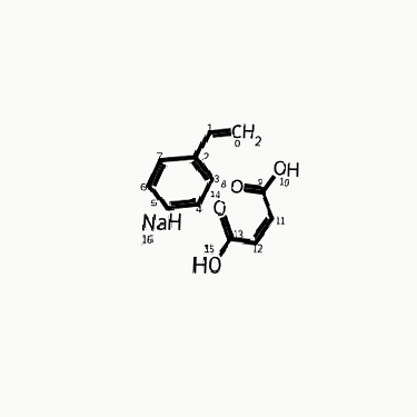 C=Cc1ccccc1.O=C(O)/C=C\C(=O)O.[NaH]